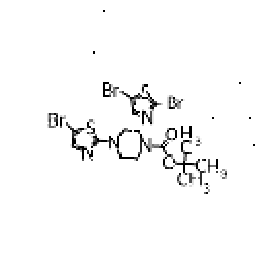 Brc1cnc(Br)s1.CC(C)(C)OC(=O)N1CCN(c2ncc(Br)s2)CC1